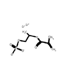 C=C(C)C(=O)OC(C)COP(=O)([O-])[O-].[Li+].[Li+]